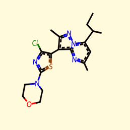 CCC(C)c1cc(C)nc2c(-c3sc(N4CCOCC4)nc3Cl)c(C)nn12